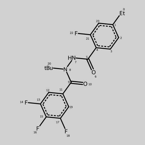 CCc1ccc(C(=O)NN(C(=O)c2cc(F)c(F)c(F)c2)C(C)(C)C)c(F)c1